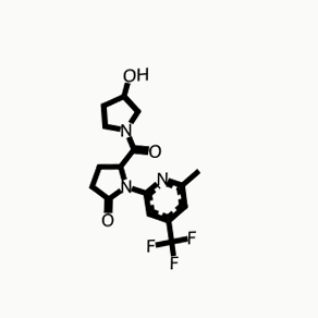 Cc1cc(C(F)(F)F)cc(N2C(=O)CCC2C(=O)N2CCC(O)C2)n1